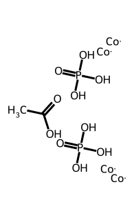 CC(=O)O.O=P(O)(O)O.O=P(O)(O)O.[Co].[Co].[Co].[Co]